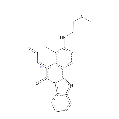 C=C/C=c1/c(=O)n2c3ccccc3nc2c2ccc(NCCN(C)C)c(C)c12